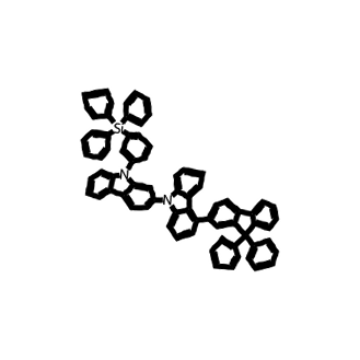 c1ccc(C2(c3ccccc3)c3ccccc3-c3ccc(-c4cccc5c4c4ccccc4n5-c4ccc5c6ccccc6n(-c6cccc([Si](c7ccccc7)(c7ccccc7)c7ccccc7)c6)c5c4)cc32)cc1